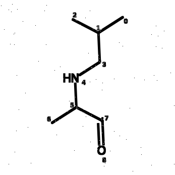 CC(C)CNC(C)[C]=O